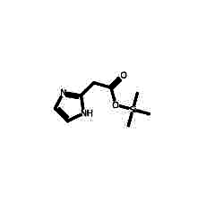 C[Si](C)(C)OC(=O)Cc1ncc[nH]1